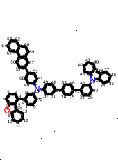 c1cc(-c2cccc3oc4ccccc4c23)cc(N(c2ccc(-c3ccc(-c4cccc(-n5c6ccccc6c6ccccc65)c4)cc3)cc2)c2ccc(-c3ccc4c(ccc5ccccc54)c3)cc2)c1